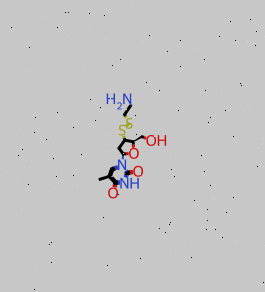 Cc1cn([C@H]2CC(SSCCN)[C@@H](CO)O2)c(=O)[nH]c1=O